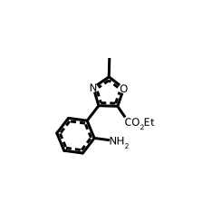 CCOC(=O)c1oc(C)nc1-c1ccccc1N